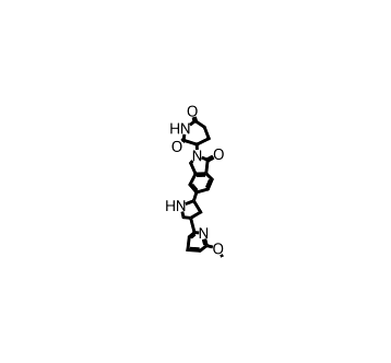 COc1cccc(C2CNC(c3ccc4c(c3)CN(C3CCC(=O)NC3=O)C4=O)C2)n1